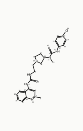 Cc1cc(NC(=O)NCCN2CCC(N(C)C(=O)Nc3ccc(Cl)cc3)C2)c2ccccc2n1